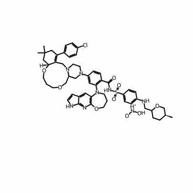 C[C@H]1CCC(CNc2ccc(S(=O)(=O)NC(=O)c3ccc(N4CCN5CC6=C(c7ccc(Cl)cc7)CC(C)(C)C[C@H]6OCCCOCC5C4)cc3N3CCCOc4nc5[nH]ccc5cc43)cc2[NH+]([O-])O)OC1